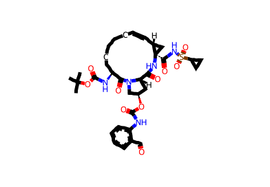 CC(C)(C)OC(=O)N[C@H]1CCCCC/C=C\[C@@H]2C[C@@]2(C(=O)NS(=O)(=O)C2CC2)NC(=O)[C@@H]2C[C@@H](OC(=O)Nc3ccccc3C=O)CN2C1=O